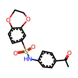 CC(=O)c1ccc(NS(=O)(=O)c2ccc3c(c2)OCCO3)cc1